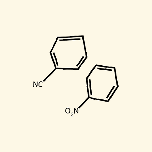 N#Cc1ccccc1.O=[N+]([O-])c1ccccc1